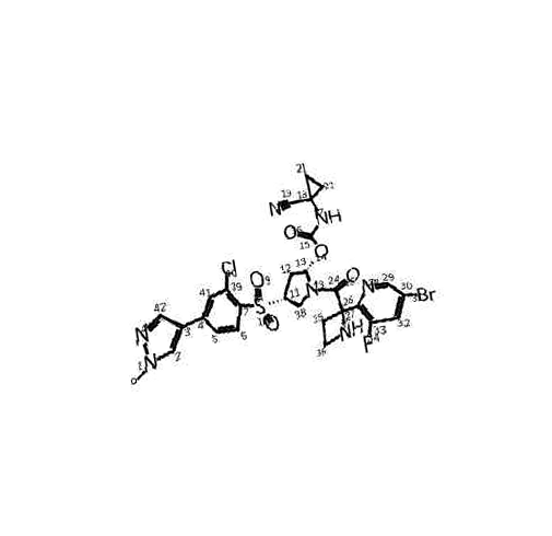 Cn1cc(-c2ccc(S(=O)(=O)[C@@H]3C[C@H](OC(=O)NC4(C#N)CC4)N(C(=O)C4(c5ncc(Br)cc5F)CCN4)C3)c(Cl)c2)cn1